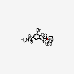 CC(C)(C)OC(=O)N1C2CC1CN(c1nc3cc(S(N)(=O)=O)cc(Br)c3o1)C2